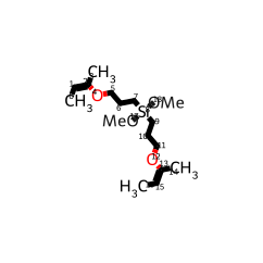 C/C=C(/C)OCCC[Si](CCCO/C(C)=C\C)(OC)OC